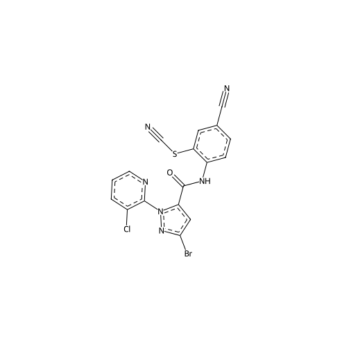 N#CSc1cc(C#N)ccc1NC(=O)c1cc(Br)nn1-c1ncccc1Cl